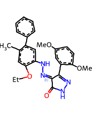 CCOc1cc(C)c(-c2ccccc2)cc1N/N=C1/C(=O)NN=C1c1cc(OC)ccc1OC